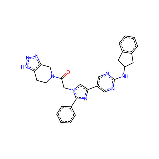 O=C(Cn1cc(-c2cnc(NC3Cc4ccccc4C3)nc2)nc1-c1ccccc1)N1CCc2[nH]nnc2C1